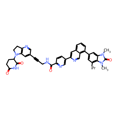 CC(C)c1cc(-c2cccc3cc(-c4ccc(C(=O)NCC#Cc5cnc6c(c5)N(C5CCC(=O)NC5=O)CC6)nc4)ncc23)cc2c1n(C)c(=O)n2C